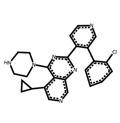 Clc1ccccc1-c1cnccc1-c1nc(N2CCNCC2)c2c(C3CC3)cncc2n1